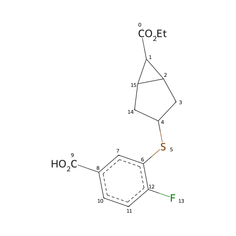 CCOC(=O)C1C2CC(Sc3cc(C(=O)O)ccc3F)CC21